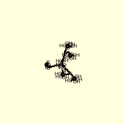 O=C(CN(CC(=O)NCCCCCN(CCC[C@H]1O[C@H](CO)[C@@H](O)[C@H](O)[C@@H]1O)CCC[C@H]1O[C@H](CO)[C@@H](O)[C@H](O)[C@@H]1O)CC(=O)NCCCCCN(CCC[C@H]1O[C@H](CO)[C@@H](O)[C@H](O)[C@@H]1O)CCC[C@H]1O[C@H](CO)[C@@H](O)[C@H](O)[C@@H]1O)NCCCCCC(=O)ON1C(=O)CCC1=O